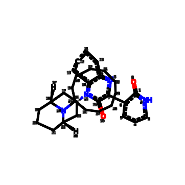 O=c1[nH]cccc1-c1nc2ccccc2n([C@H]2C[C@H]3CCC[C@@H](C2)N3C2CCCCCCCCC2)c1=O